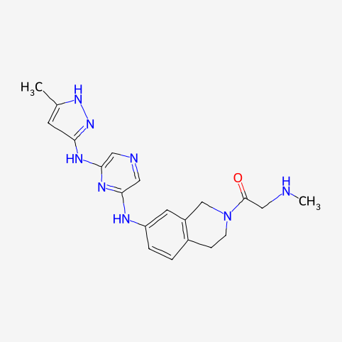 CNCC(=O)N1CCc2ccc(Nc3cncc(Nc4cc(C)[nH]n4)n3)cc2C1